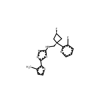 Cc1ccsc1-c1nnc(NC[C@]2(c3ncccc3F)C[C@H](F)C2)s1